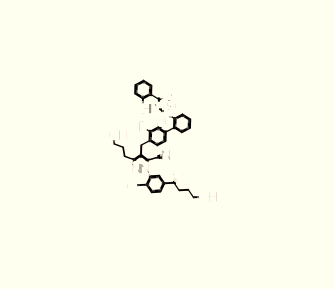 CCCCC(=O)c1ccc(Cl)c(-n2nc(CCCC)c(Cc3ccc(-c4ccccc4S(=O)(=O)NC(=O)c4ccccc4Cl)cc3F)c2C#N)c1